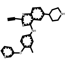 C#Cc1nc(Nc2ccc(Oc3cccnc3)c(C)c2)c2cc(C3CCNCC3)ccc2n1